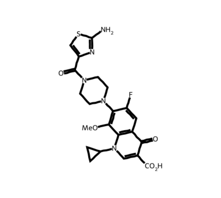 COc1c(N2CCN(C(=O)c3csc(N)n3)CC2)c(F)cc2c(=O)c(C(=O)O)cn(C3CC3)c12